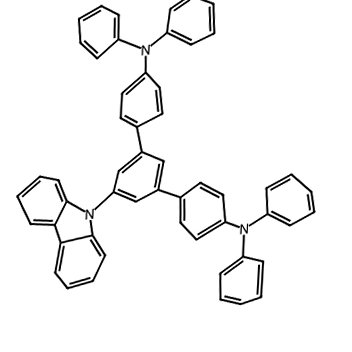 c1ccc(N(c2ccccc2)c2ccc(-c3cc(-c4ccc(N(c5ccccc5)c5ccccc5)cc4)cc(-n4c5ccccc5c5ccccc54)c3)cc2)cc1